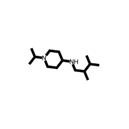 CC(C)C(C)CNC1CCN(C(C)C)CC1